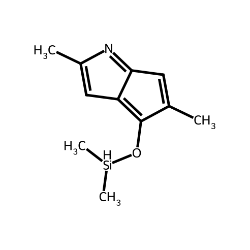 CC1=CC2=C(O[SiH](C)C)C(C)=CC2=N1